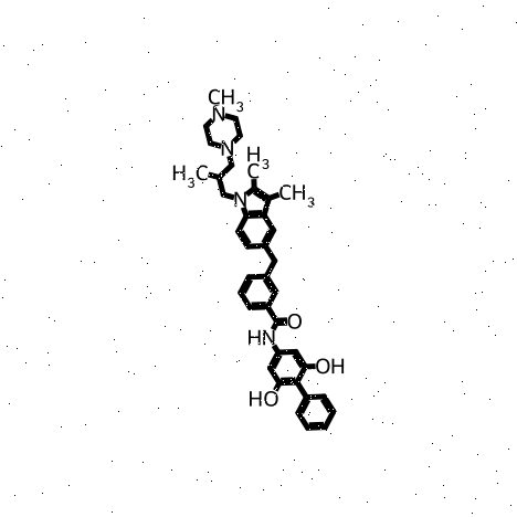 Cc1c(C)n(CC(C)CN2CCN(C)CC2)c2ccc(Cc3cccc(C(=O)Nc4cc(O)c(-c5ccccc5)c(O)c4)c3)cc12